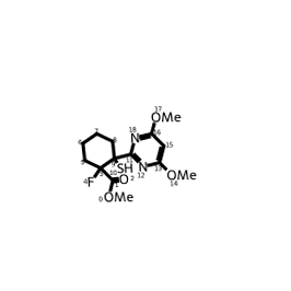 COC(=O)C1(F)CCCCC1(S)c1nc(OC)cc(OC)n1